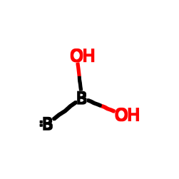 [B]B(O)O